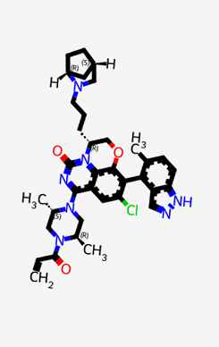 C=CC(=O)N1C[C@H](C)N(c2nc(=O)n3c4c(c(-c5c(C)ccc6[nH]ncc56)c(Cl)cc24)OC[C@H]3CCCN2C[C@H]3CC[C@@H]2C3)C[C@H]1C